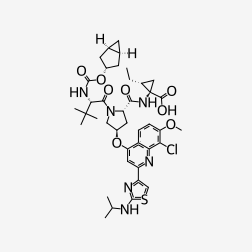 CC[C@@H]1C[C@]1(NC(=O)[C@@H]1C[C@@H](Oc2cc(-c3csc(NC(C)C)n3)nc3c(Cl)c(OC)ccc23)CN1C(=O)[C@@H](NC(=O)O[C@H]1C[C@@H]2C[C@@H]2C1)C(C)(C)C)C(=O)O